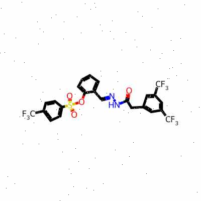 O=C(Cc1cc(C(F)(F)F)cc(C(F)(F)F)c1)N/N=C/c1ccccc1OS(=O)(=O)c1ccc(C(F)(F)F)cc1